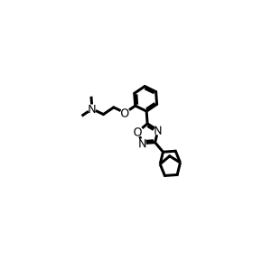 CN(C)CCOc1ccccc1-c1nc(C2CC3CCC2C3)no1